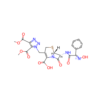 COC(=O)c1nnn(CC2=C(C(=O)O)N3C(=O)[C@@H](NC(=O)/C(=N/O)c4ccccc4)[C@H]3SC2)c1C(=O)OC